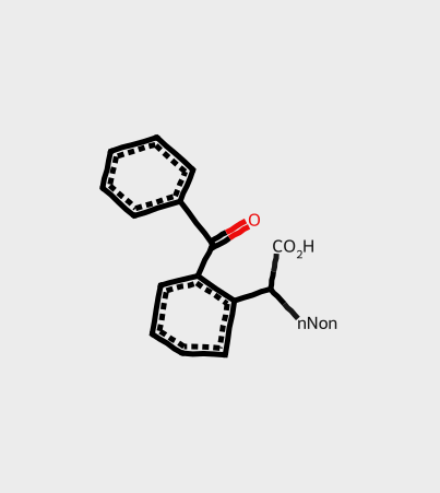 CCCCCCCCCC(C(=O)O)c1ccccc1C(=O)c1ccccc1